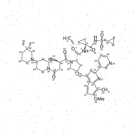 C=C[C@@H]1C[C@]1(NC(=O)[C@@H]1C[C@@H](Oc2cc(-c3cccnc3)nc3c(C)c(OC)ccc23)CN1C(=O)[C@@H](CC(=O)N1CCC(N2CCCC(F)(F)C2)CC1)C(C)(C)C)C(=O)NS(=O)(=O)C1CC1